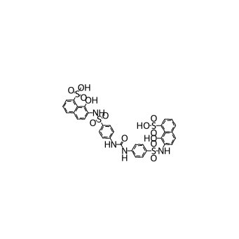 O=C(Nc1ccc(S(=O)(=O)Nc2ccc3cccc(S(=O)(=O)O)c3c2O)cc1)Nc1ccc(S(=O)(=O)Nc2ccc3cccc(S(=O)(=O)O)c3c2O)cc1